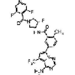 Cc1ccc(-c2cc(C(F)(F)F)c3c(N)ncnn23)cc1C(=O)N[C@@H]1CN(C(=O)c2c(F)cncc2F)C[C@@H]1F